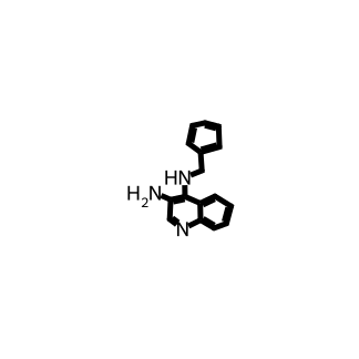 Nc1cnc2ccccc2c1NCc1ccccc1